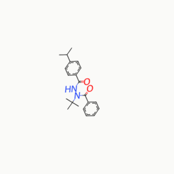 CC(C)c1ccc(C(=O)NN(C(=O)c2ccccc2)C(C)(C)C)cc1